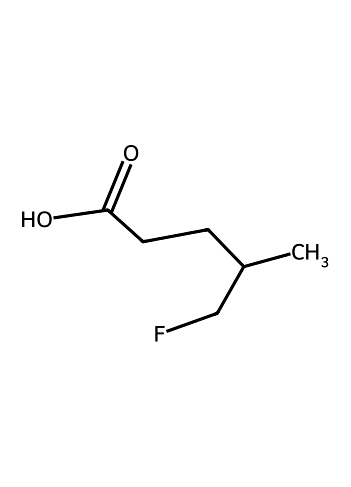 CC(CF)CCC(=O)O